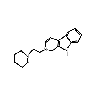 C1=CN(CCN2CCCCC2)Cc2[nH]c3ccccc3c21